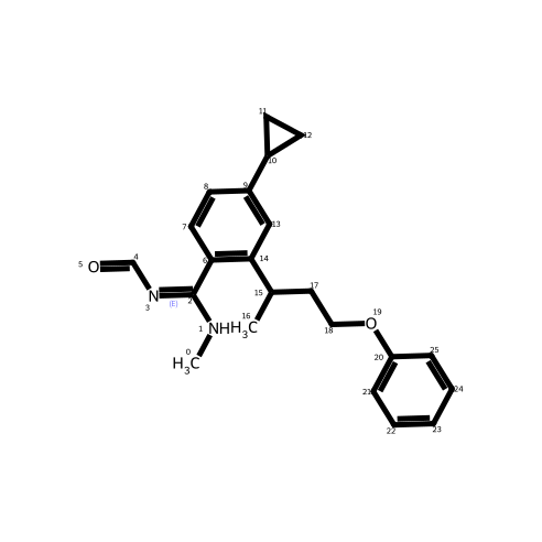 CN/C(=N/C=O)c1ccc(C2CC2)cc1C(C)CCOc1ccccc1